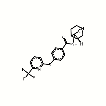 O=C(N[C@H]1CN2CCC1CC2)c1ccc(Sc2cccc(C(F)(F)F)n2)cc1